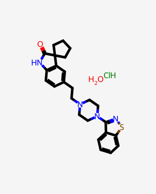 Cl.O.O=C1Nc2ccc(CCN3CCN(c4nsc5ccccc45)CC3)cc2C12CCCC2